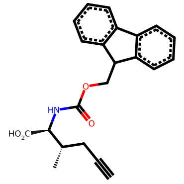 C#CC[C@H](C)[C@H](NC(=O)OCC1c2ccccc2-c2ccccc21)C(=O)O